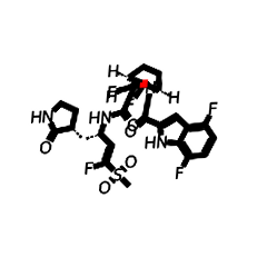 CS(=O)(=O)/C(F)=C/[C@H](C[C@H]1CCNC1=O)NC(=O)[C@@H]1[C@H]2CC[C@H](CC2(F)F)N1C(=O)c1cc2c(F)ccc(F)c2[nH]1